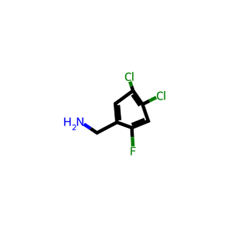 NCc1cc(Cl)c(Cl)cc1F